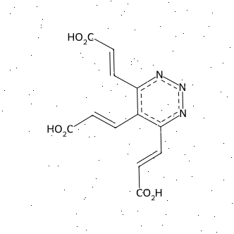 O=C(O)C=Cc1nnnc(C=CC(=O)O)c1C=CC(=O)O